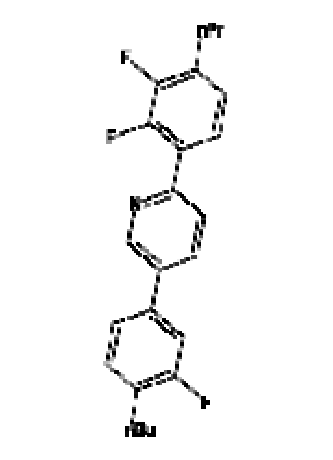 CCCCc1ccc(-c2ccc(-c3ccc(CCC)c(F)c3F)nc2)cc1F